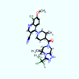 COc1ccc2c(N3CCC(C(=O)N4Cc5nnc(C(F)(F)F)n5C(C)(C)C4)C(C)C3)c(C#N)cnc2c1F